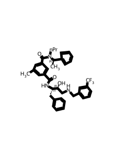 CCCN(C(=O)c1cc(C)cc(C(=O)N[C@@H](Cc2ccccc2)[C@H](O)CNCc2cccc(C(F)(F)F)c2)c1)[C@H](C)c1ccccc1